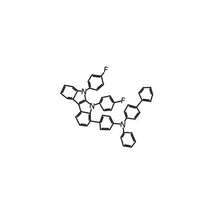 Fc1ccc(-n2c3ccccc3c3c4cccc(-c5ccc(N(c6ccccc6)c6ccc(-c7ccccc7)cc6)cc5)c4n(-c4ccc(F)cc4)c32)cc1